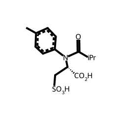 Cc1ccc(N(C(=O)C(C)C)[C@@H](CS(=O)(=O)O)C(=O)O)cc1